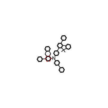 CC1(C)c2ccccc2-c2c(-c3ccccc3)ccc(-c3ccc(N(c4ccc(-c5ccccc5)cc4)c4ccc(-c5ccccc5)c5c4C4c6ccccc6C5c5ccccc54)cc3)c21